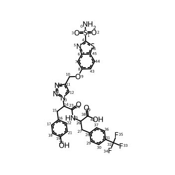 NS(=O)(=O)c1nc2cc(OCc3cn(C(Cc4ccc(O)cc4)C(=O)NC(Cc4ccc(C(F)(F)F)cc4)C(=O)O)nn3)ccc2s1